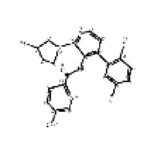 O=C(Nc1c(-c2cc(F)ccc2F)ccnc1N1CCC(F)C1)c1ccc(Cl)cn1